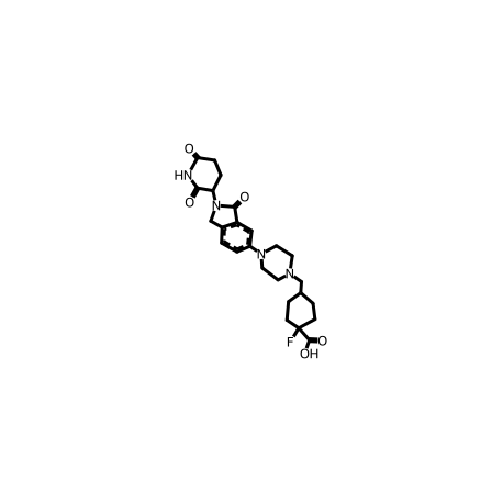 O=C1CCC(N2Cc3ccc(N4CCN(CC5CCC(F)(C(=O)O)CC5)CC4)cc3C2=O)C(=O)N1